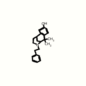 CC1(C)c2ccc(O)cc2C2CCN(CCc3ccccc3)C1C2